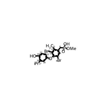 COP(=O)(O)Cc1cc(Br)c(Oc2ccc(O)c(C(C)C)c2)c(Br)c1C